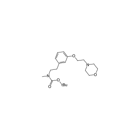 CN(CCc1cccc(OCCN2CCOCC2)c1)C(=O)OC(C)(C)C